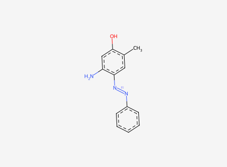 Cc1cc(/N=N/c2ccccc2)c(N)cc1O